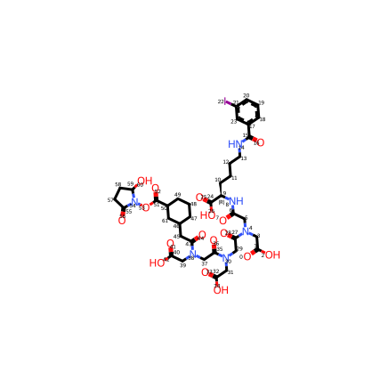 O=C(O)CN(CC(=O)N[C@H](CCCCNC(=O)c1cccc(I)c1)C(=O)O)C(=O)CN(CC(=O)O)C(=O)CN(CC(=O)O)C(=O)CC1CCCC(C(=O)ON2C(=O)CCC2O)C1